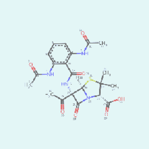 CC(=O)Nc1cccc(NC(C)=O)c1C(=O)N[C@@]1(C(C)=O)C(=O)N2[C@@H](C(=O)O)C(C)(C)S[C@@H]21